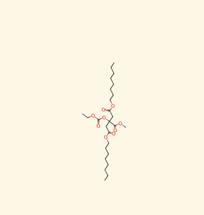 CCCCCCCCOC(=O)CC(CC(=O)OCCCCCCCC)(OC(=O)OCC)C(=O)OC